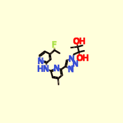 Cc1cc(Nc2cc(C(C)F)ccn2)nc(-c2cn(CC(C)(O)C(C)(C)O)nn2)c1